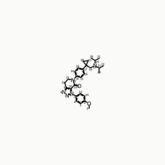 COc1ccc(-n2nnc3c2C(=O)N(c2ccc(C4(CN(C(C)C)C(C)C)CC4)cc2)CC3)cc1